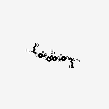 CC(CCOc1ccc(C(=O)Oc2ccc3c(c2)C(C)c2cc(OC(=O)c4ccc(OCCC(C)CCC5CO5)cc4F)ccc2-3)c(F)c1)CCC1CO1